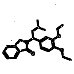 CCOc1ccc(C(CC(C)C)N2Cc3ccccc3C2=O)cc1OCC